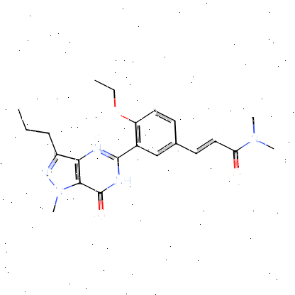 CCCc1nn(C)c2c(=O)[nH]c(-c3cc(/C=C/C(=O)N(C)C)ccc3OCC)nc12